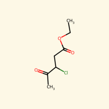 CCOC(=O)CC(Cl)C(C)=O